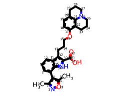 Cc1noc(C)c1-c1cccc2c(CCCOc3ccc4c5c3CCCN5CCC4)c(C(=O)O)[nH]c12